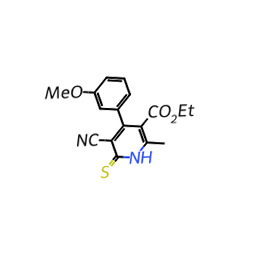 CCOC(=O)c1c(C)[nH]c(=S)c(C#N)c1-c1cccc(OC)c1